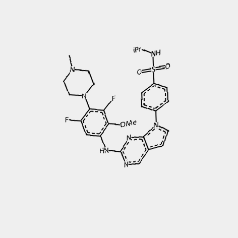 COc1c(Nc2ncc3ccn(-c4ccc(S(=O)(=O)NC(C)C)cc4)c3n2)cc(F)c(N2CCN(C)CC2)c1F